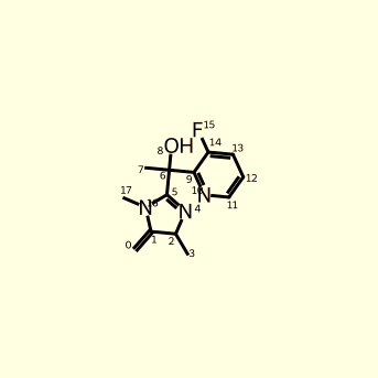 C=C1C(C)N=C(C(C)(O)c2ncccc2F)N1C